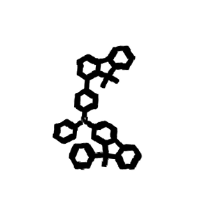 CC1(C)c2ccccc2-c2cccc(-c3ccc(N(c4ccccc4)c4ccc5c(c4)C(C)(c4ccccc4)c4ccccc4-5)cc3)c21